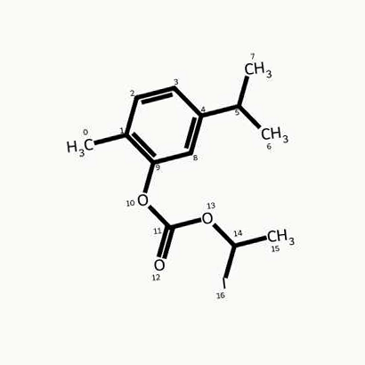 Cc1ccc(C(C)C)cc1OC(=O)OC(C)I